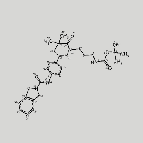 CCCC(C)(C)OC(=O)NCCCN1N=C(c2ccc(NC(=O)N3Cc4ccncc4C3)cc2)CC(C)(C)C1=O